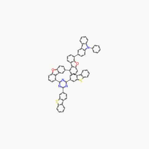 c1ccc(-n2c3ccccc3c3cc(-c4cccc5c4oc4cccc(-c6ccc7oc8cccc(-c9nc(-c%10ccc%11c(c%10)sc%10ccccc%10%11)nc(-c%10ccc%11c(c%10)sc%10ccccc%10%11)n9)c8c7c6)c45)ccc32)cc1